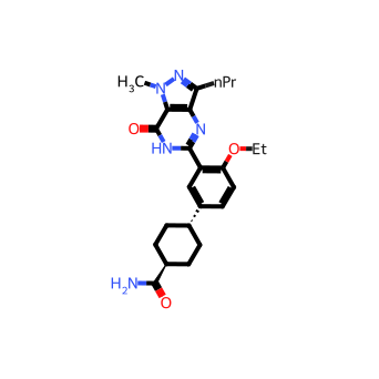 CCCc1nn(C)c2c(=O)[nH]c(-c3cc([C@H]4CC[C@H](C(N)=O)CC4)ccc3OCC)nc12